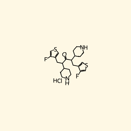 Cl.O=C(C(Cc1cscc1F)C1CCNCC1)C(Cc1cscc1F)C1CCNCC1